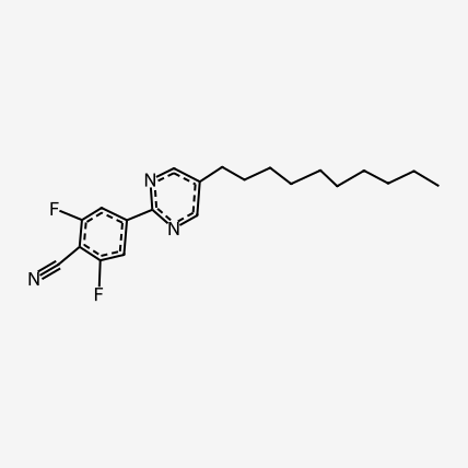 CCCCCCCCCCc1cnc(-c2cc(F)c(C#N)c(F)c2)nc1